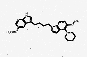 COc1ccc2[nH]cc(CCCCn3ccc4c(N5CCCCC5)c(OC)ccc43)c2c1